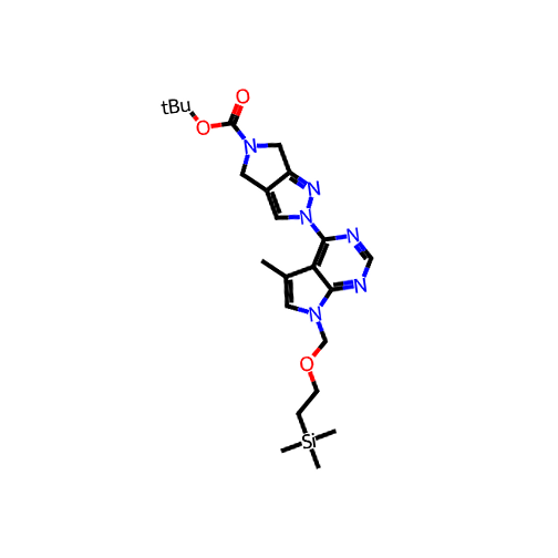 Cc1cn(COCC[Si](C)(C)C)c2ncnc(-n3cc4c(n3)CN(C(=O)OC(C)(C)C)C4)c12